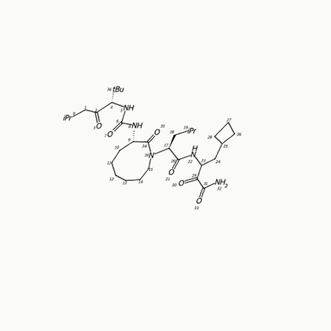 CC(C)CC(=O)[C@@H](NC(=O)N[C@H]1CCCCCCN([C@@H](CC(C)C)C(=O)NC(CC2CCC2)C(=O)C(N)=O)C1=O)C(C)(C)C